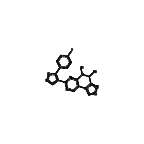 CCC1c2nncn2-c2cnc(-c3cnoc3-c3ccc(F)cc3)nc2N1C(C)C